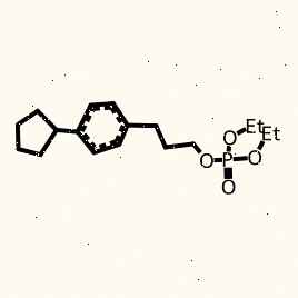 CCOP(=O)(OCC)OCCCc1ccc(C2CCCC2)cc1